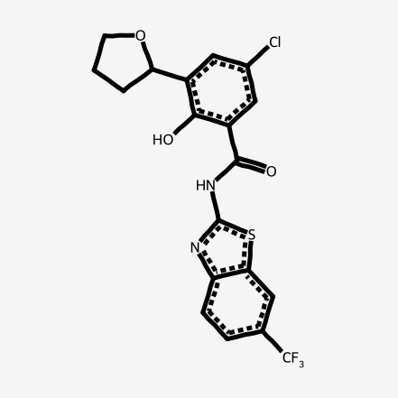 O=C(Nc1nc2ccc(C(F)(F)F)cc2s1)c1cc(Cl)cc(C2CCCO2)c1O